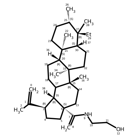 C=C(C)[C@@H]1CC[C@]2(C(=C)NCCO)CC[C@]3(C)C(CC[C@@H]4[C@@]5(C)CC[C@H](C)[C@@](C)(CC)[C@@H]5CC[C@]43C)[C@@H]12